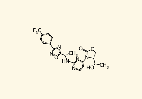 C[C@H](Nc1nccc(N2C(=O)OC[C@@H]2[C@@H](C)O)n1)c1nc(-c2ccc(C(F)(F)F)cc2)no1